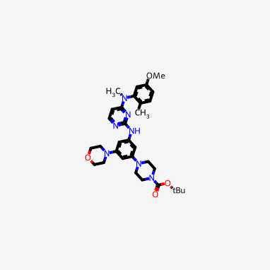 COc1ccc(C)c(N(C)c2ccnc(Nc3cc(N4CCOCC4)cc(N4CCN(C(=O)OC(C)(C)C)CC4)c3)n2)c1